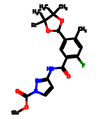 CCC1(C)OB(c2cc(C(=O)Nc3ccn(C(=O)OC(C)(C)C)n3)c(F)cc2C)OC1(C)C